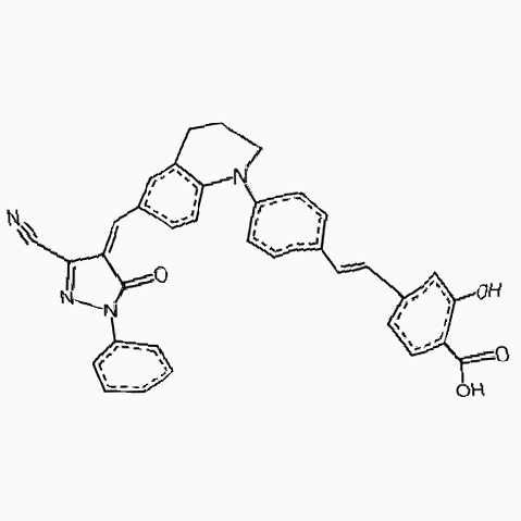 N#CC1=NN(c2ccccc2)C(=O)/C1=C\c1ccc2c(c1)CCCN2c1ccc(/C=C/c2ccc(C(=O)O)c(O)c2)cc1